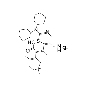 C/N=C(\SC(=C/CNS)/C(C)=C(\C(=O)O)C1=C(C)CCC(C)(C)C1)N(C1CCCCC1)C1CCCCC1